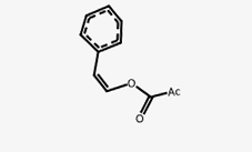 CC(=O)C(=O)O/C=C\c1ccccc1